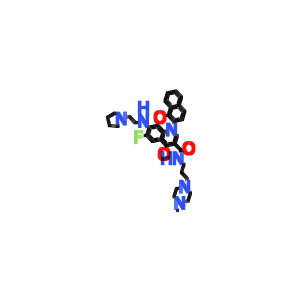 CN1CCN(CCCNC(=O)c2cn3c4c(c(NCCN5CCCC5)c(F)cc4c2=O)Oc2c-3ccc3ccccc23)CC1